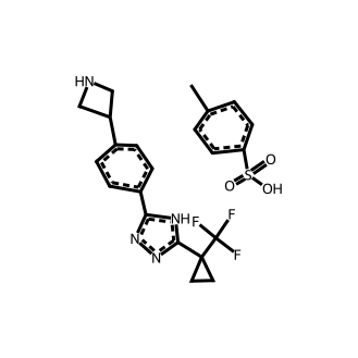 Cc1ccc(S(=O)(=O)O)cc1.FC(F)(F)C1(c2nnc(-c3ccc(C4CNC4)cc3)[nH]2)CC1